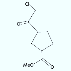 COC(=O)C1CCC(C(=O)CCl)C1